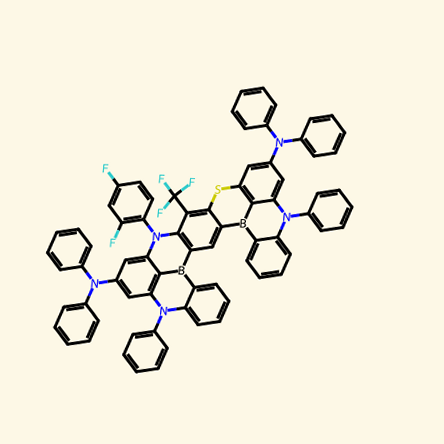 Fc1ccc(N2c3cc(N(c4ccccc4)c4ccccc4)cc4c3B(c3ccccc3N4c3ccccc3)c3cc4c(c(C(F)(F)F)c32)Sc2cc(N(c3ccccc3)c3ccccc3)cc3c2B4c2ccccc2N3c2ccccc2)c(F)c1